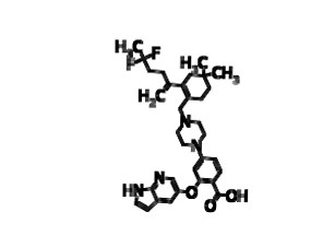 C=C(CCC(C)(F)F)C1=C(CN2CCN(c3ccc(C(=O)O)c(Oc4cnc5[nH]ccc5c4)c3)CC2)CCC(C)(C)C1